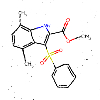 COC(=O)c1[nH]c2c(C)ccc(C)c2c1S(=O)(=O)c1ccccc1